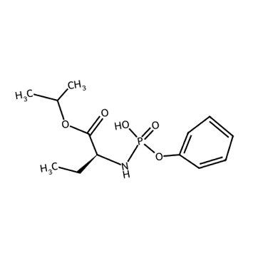 CC[C@H](NP(=O)(O)Oc1ccccc1)C(=O)OC(C)C